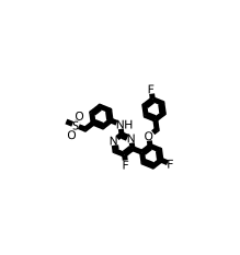 CS(=O)(=O)Cc1cccc(Nc2ncc(F)c(-c3ccc(F)cc3OCc3ccc(F)cc3)n2)c1